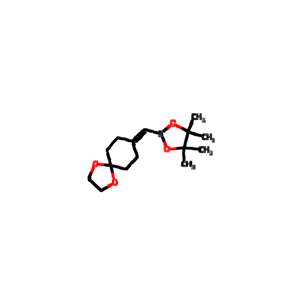 CC1(C)OB(C=C2CCC3(CC2)OCCO3)OC1(C)C